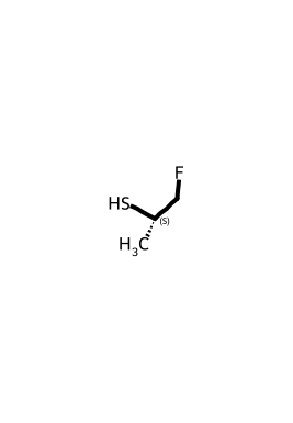 C[C@H](S)CF